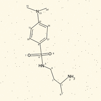 CC(N)CCNS(=O)(=O)c1ccc(N(C)C)cc1